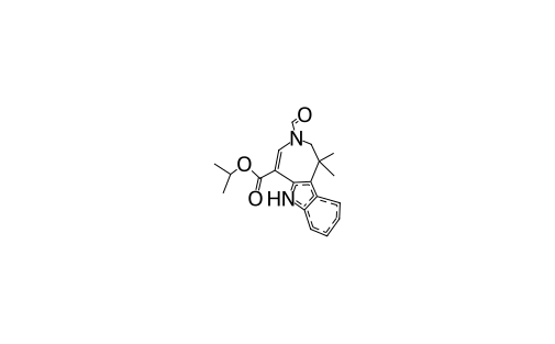 CC(C)OC(=O)C1=CN(C=O)CC(C)(C)c2c1[nH]c1ccccc21